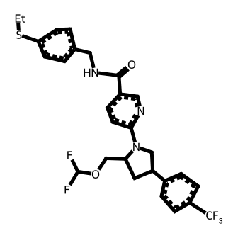 CCSc1ccc(CNC(=O)c2ccc(N3CC(c4ccc(C(F)(F)F)cc4)CC3COC(F)F)nc2)cc1